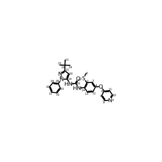 CSc1cc(Oc2c[c]ncc2)ccc1NC(=O)Nc1cc(C(C)(C)C)nn1-c1ccccc1